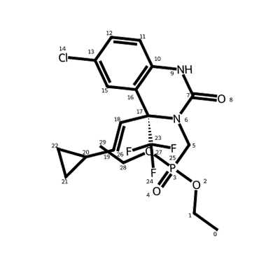 CCOP(=O)(CN1C(=O)Nc2ccc(Cl)cc2[C@@]1(/C=C/C1CC1)C(F)(F)F)OCC